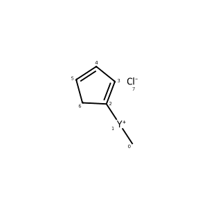 [CH3][Y+][C]1=CC=CC1.[Cl-]